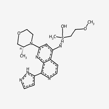 COCC[SH](C)(O)=Nc1cc(N2CCOC[C@H]2C)nc2c(-c3ccn[nH]3)nccc12